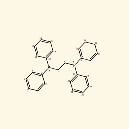 C1=CC(P(CCP(c2ccccc2)c2ccccc2)c2ccccc2)=CCC1